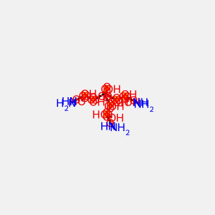 COP(=O)(O)OCC(COCCCOP(=O)(O)OCCOP(=O)(O)OC(CO)CCOCNN)(COCCCOP(=O)(O)OCCOP(=O)(O)OC(CO)CCOCNN)COCCCOP(=O)(O)OCCOP(=O)(O)OC(CO)CCOCNN